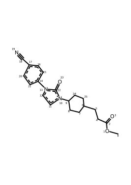 COC(=O)CCC1CCC(n2ccn(-c3ccc(C#N)cc3)c2=O)CC1